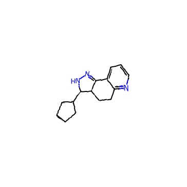 c1cnc2c(c1)C1=NNC(C3CCCC3)C1CC2